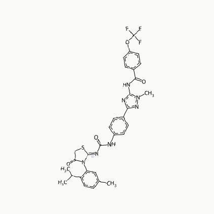 Cc1ccc(C(C)C)c(N2C(=O)CS/C2=N\C(=O)Nc2ccc(-c3nc(NC(=O)c4ccc(OC(F)(F)F)cc4)n(C)n3)cc2)c1